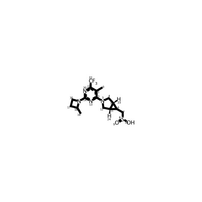 Cc1c(N2C[C@@H]3C(CS(=O)O)[C@@H]3C2)nc(N2CCC2C)nc1C(F)(F)F